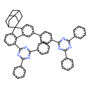 c1ccc(-c2nc(-c3ccccc3)nc(-c3ccc(-c4ccc5c(c4)-c4c(-c6nc(-c7ccccc7)nc(-c7ccccc7)n6)cccc4C54C5CC6CC(C5)CC4C6)cc3)n2)cc1